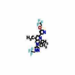 Cc1cc(-c2cncc(OCC(F)(F)F)c2)nc2c1CN(c1cnn(CC(F)(F)F)c1)C2(C)C